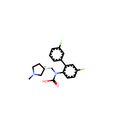 CN1CC[C@H](CN(C(=O)O)c2ccc(F)cc2-c2cccc(F)c2)C1